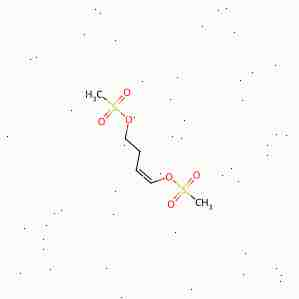 CS(=O)(=O)O/C=C\CCOS(C)(=O)=O